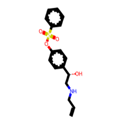 C=CCNC[C@@H](O)c1ccc(OS(=O)(=O)c2ccccc2)cc1